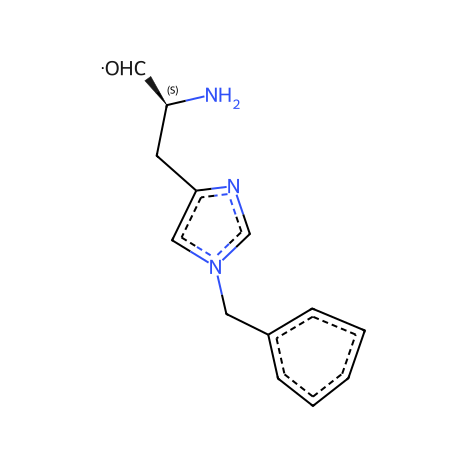 N[C@H]([C]=O)Cc1cn(Cc2ccccc2)cn1